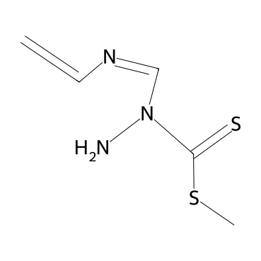 C=C/N=C\N(N)C(=S)SC